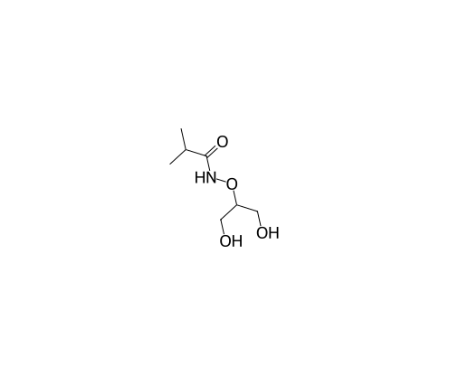 CC(C)C(=O)NOC(CO)CO